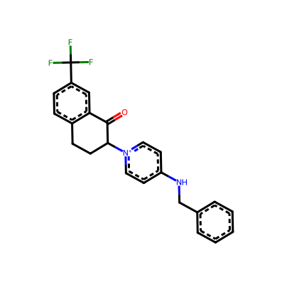 O=C1c2cc(C(F)(F)F)ccc2CCC1[n+]1ccc(NCc2ccccc2)cc1